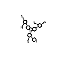 N#Cc1ccc(-c2ccc3c(c2)c2cc(-c4ccc(C#N)cc4C#N)ccc2n3-c2ccc(C#N)c(-c3ccncc3)c2)c(C#N)c1